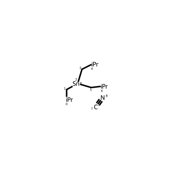 CC(C)[CH2][Sn+]([CH2]C(C)C)[CH2]C(C)C.[C-]#N